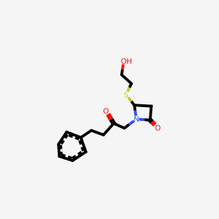 O=C(CCc1ccccc1)CN1C(=O)CC1SCCO